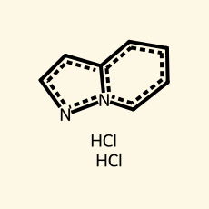 Cl.Cl.c1ccn2nccc2c1